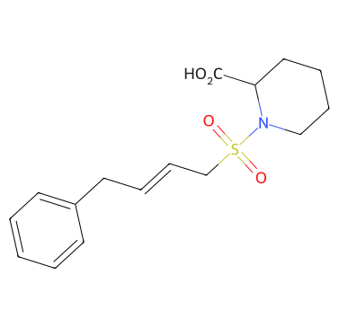 O=C(O)C1CCCCN1S(=O)(=O)CC=CCc1ccccc1